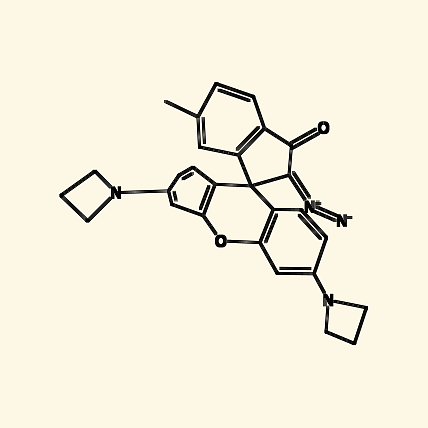 Cc1ccc2c(c1)C1(C(=[N+]=[N-])C2=O)c2ccc(N3CCC3)cc2Oc2cc(N3CCC3)ccc21